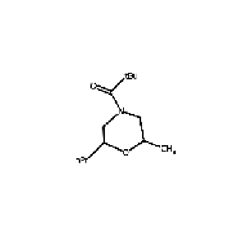 CCCC1CN(C(=O)C(C)(C)C)CC(C)O1